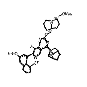 CCc1cccc2cc(O)cc(-c3ncc4c(N5CC6CCC(C5)N6)nc(OC[C@]56CCCN5[C@H](COC)CC6)nc4c3F)c12